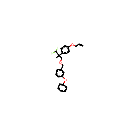 C=CCOc1ccc(C(C)(COCc2cccc(Oc3ccccc3)c2)C(F)F)cc1